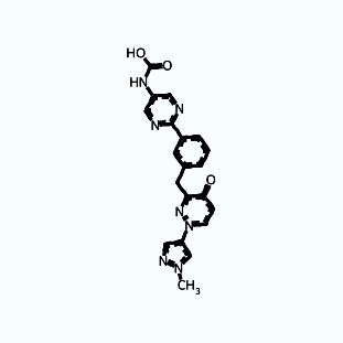 Cn1cc(-n2ccc(=O)c(Cc3cccc(-c4ncc(NC(=O)O)cn4)c3)n2)cn1